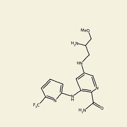 COCC(N)CNc1cnc(C(N)=O)c(Nc2cccc(C(F)(F)F)n2)c1